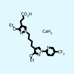 CCOc1nn(CCCCc2cn(-c3ccc(C(F)(F)F)cn3)nc2OCC)cc1CCC(=O)O.[CaH2]